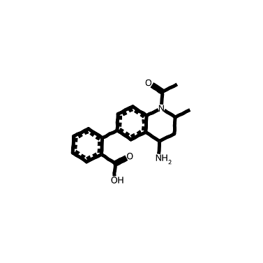 CC(=O)N1c2ccc(-c3ccccc3C(=O)O)cc2C(N)CC1C